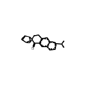 CC(C)c1ccc2cc3c(cc2c1)CCC1(CC2C=CC1C2)C3=O